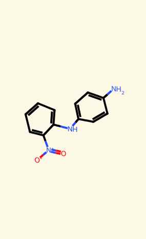 Nc1ccc(Nc2ccccc2[N+](=O)[O-])cc1